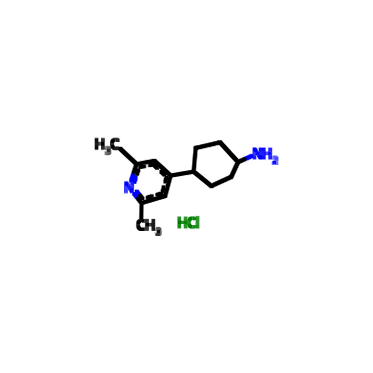 Cc1cc(C2CCC(N)CC2)cc(C)n1.Cl